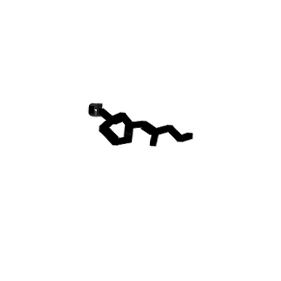 CCC/C(C)=C/c1cccc(Cl)c1